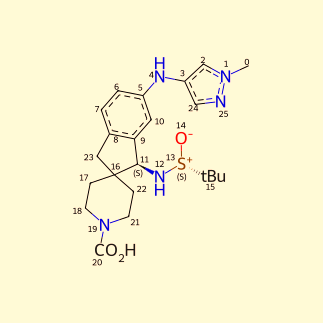 Cn1cc(Nc2ccc3c(c2)[C@@H](N[S@+]([O-])C(C)(C)C)C2(CCN(C(=O)O)CC2)C3)cn1